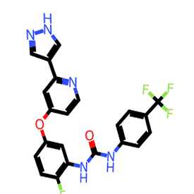 O=C(Nc1ccc(C(F)(F)F)cc1)Nc1cc(Oc2ccnc(-c3cn[nH]c3)c2)ccc1F